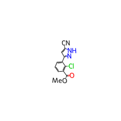 COC(=O)c1cccc(-c2cc(C#N)[nH]n2)c1Cl